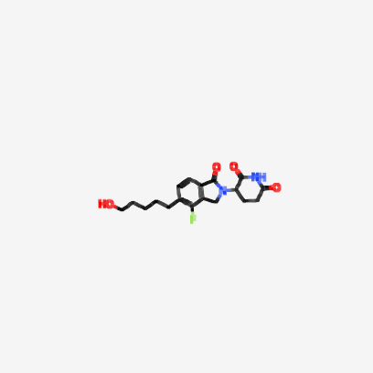 O=C1CCC(N2Cc3c(ccc(CCCCCO)c3F)C2=O)C(=O)N1